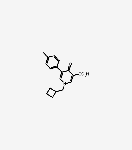 Cc1ccc(-c2cn(CC3CCC3)cc(C(=O)O)c2=O)cc1